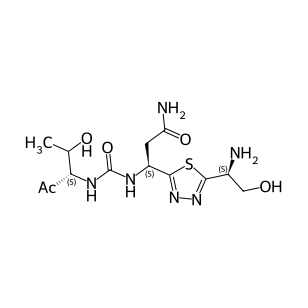 CC(=O)[C@@H](NC(=O)N[C@@H](CC(N)=O)c1nnc([C@@H](N)CO)s1)C(C)O